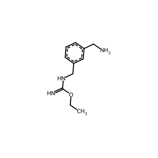 CCOC(=N)NCc1cccc(CN)c1